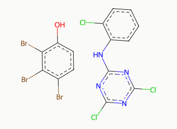 Clc1nc(Cl)nc(Nc2ccccc2Cl)n1.Oc1ccc(Br)c(Br)c1Br